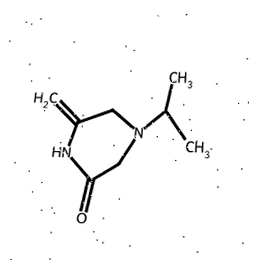 C=C1CN(C(C)C)CC(=O)N1